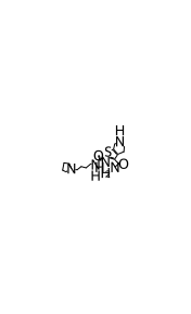 NC(=O)c1c(NC(=O)NCCCCN2CCCC2)sc2c1CCNC2